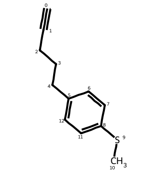 [C]#CCCCc1ccc(SC)cc1